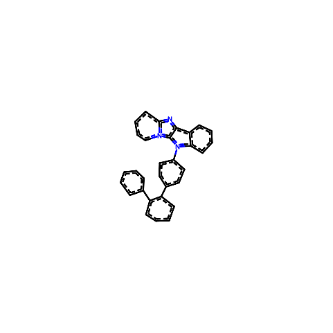 c1ccc(-c2ccccc2-c2ccc(-n3c4ccccc4c4nc5ccccn5c43)cc2)cc1